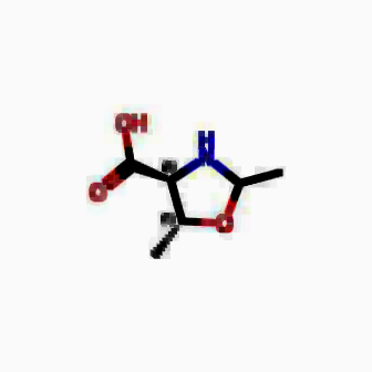 CC1N[C@H](C(=O)O)[C@@H](C)O1